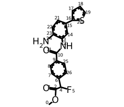 COC(=O)C(F)c1ccc(C(=O)Nc2cc(-c3cccs3)ccc2N)cc1